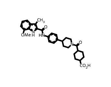 COc1cccc2c(C)c(C(=O)Nc3ccc(C4CCN(C(=O)C5CCC(C(=O)O)CC5)CC4)cc3)[nH]c12